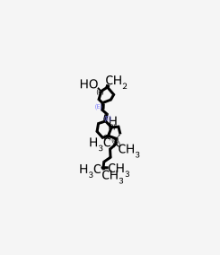 C=C1CC/C(=C\C=C2/CCC[C@]3(C)[C@@H]([C@H](C)CCCC(C)(C)C)CC[C@@H]23)C[C@H]1O